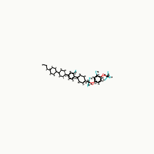 CCCC1CCC(C2CCC(c3ccc(C4CCC(C(F)(F)Oc5ccc(OC(F)(F)F)c(F)c5)CC4)c(F)c3)CC2)CC1